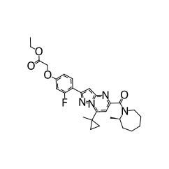 CCOC(=O)COc1ccc(-c2cc3nc(C(=O)N4CCCCC[C@H]4C)cc(C4(C)CC4)n3n2)c(F)c1